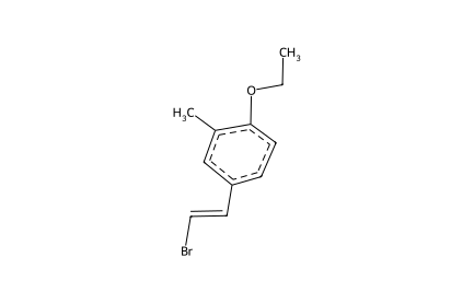 CCOc1ccc(/C=C/Br)cc1C